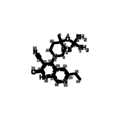 BC(B)(B)OC1(C)CCN(c2c(C#N)c(=O)[nH]c3cnc(CC)cc23)CC1